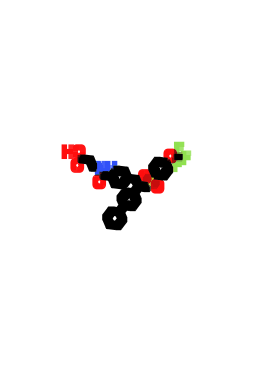 O=C(O)CCNC(=O)c1ccc(C/C(=C\S(=O)(=O)c2ccc(OC(F)(F)F)cc2)c2ccc(C3CCCCC3)cc2)cc1